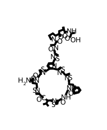 C=C(CC(=O)C1CCCN1C(=O)C1=NC(c2csc(-c3ccc4c(n3)-c3csc(n3)-c3csc(n3)C(Cc3ccccc3)NC(=O)CNC(=O)c3csc(n3)C(C(C)C)CC(=O)c3csc(n3)C(CC(N)=O)NC(=O)c3csc-4n3)n2)OC1)C(=O)NC(C)C(=O)O